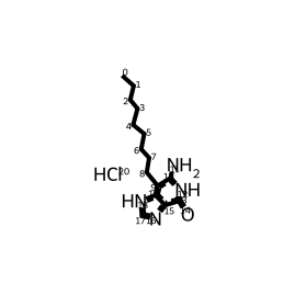 CCCCCCCCCc1c(N)[nH]c(=O)c2nc[nH]c12.Cl